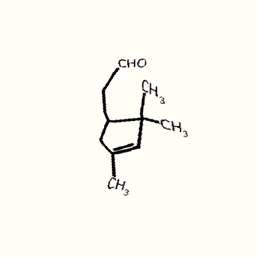 CC1=CC(C)(C)C(CC=O)C1